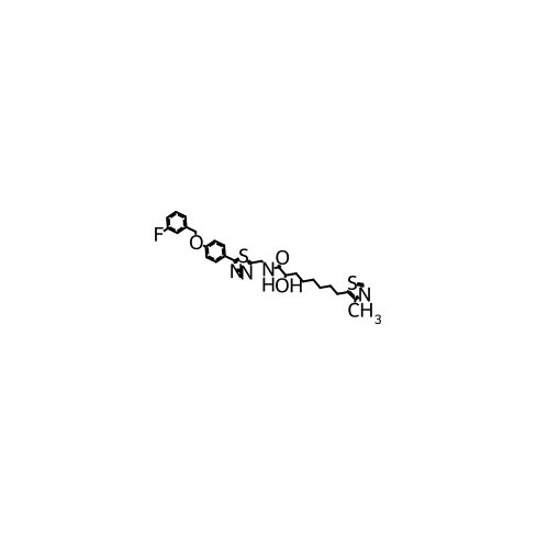 Cc1ncsc1CCCCCCC(O)C(=O)NCc1nnc(-c2ccc(OCc3cccc(F)c3)cc2)s1